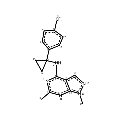 Cc1nc(NC2(c3ccc(C(F)(F)F)cc3)CC2)c2cnn(C)c2n1